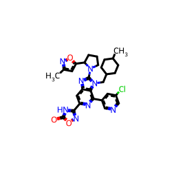 Cc1cc(C2CCCN2c2nc3cc(-c4noc(=O)[nH]4)nc(-c4cncc(Cl)c4)c3n2CC2CCC(C)CC2)on1